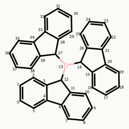 c1ccc2c(c1)-c1ccccc1C2B(C1c2ccccc2-c2ccccc21)C1c2ccccc2-c2ccccc21